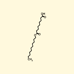 CCCCCCCCCCCOC(=O)CCCCCCCC(=O)O